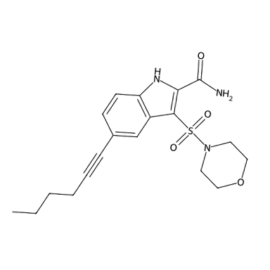 CCCCC#Cc1ccc2[nH]c(C(N)=O)c(S(=O)(=O)N3CCOCC3)c2c1